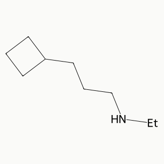 CCNCCCC1CCC1